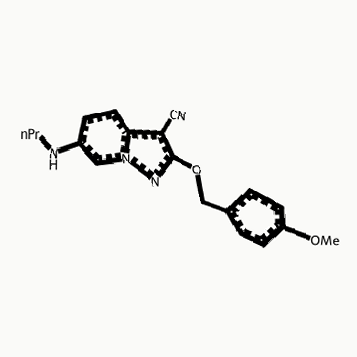 CCCNc1ccc2c(C#N)c(OCc3ccc(OC)cc3)nn2c1